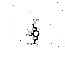 [C-]#[N+]C1(CC(C)C)c2sc(COC=O)cc2CCc2cc(C(=O)OC)sc21